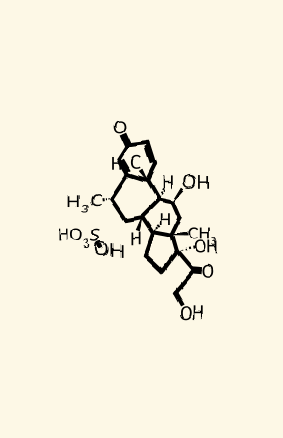 C[C@H]1C[C@@H]2[C@H]([C@@H](O)C[C@@]3(C)[C@H]2CC[C@]3(O)C(=O)CO)[C@@]2(C)C=CC(=O)C=C12.O=S(=O)(O)O